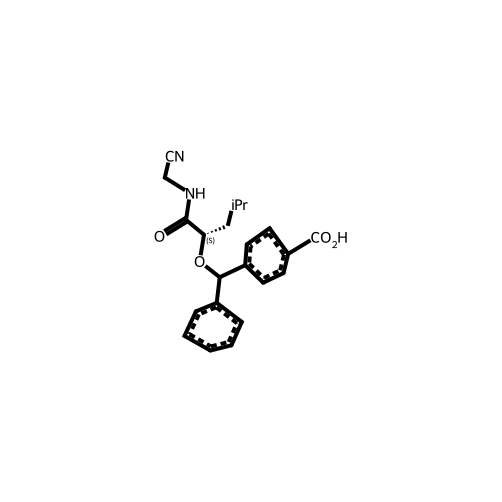 CC(C)C[C@H](OC(c1ccccc1)c1ccc(C(=O)O)cc1)C(=O)NCC#N